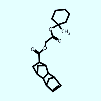 CC1(OC(=O)COC(=O)C2CC3CC2C2C4C=CC(C4)C32)CCCCC1